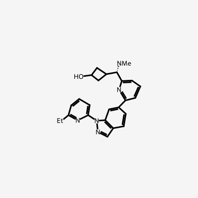 CCc1cccc(-n2ncc3ccc(-c4cccc([C@@H](NC)C5CC(O)C5)n4)cc32)n1